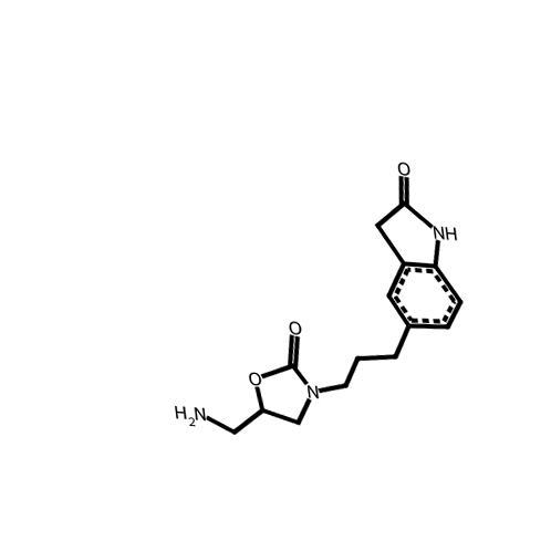 NCC1CN(CCCc2ccc3c(c2)CC(=O)N3)C(=O)O1